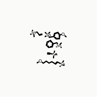 C#[C][Sn]([CH3])([CH3])[CH3].C=C[CH2][Sn]([CH3])([CH3])[CH3].COCCCCC=[CH][Sn]([CH3])([CH3])[CH3].COc1ccc([CH2][Sn]([CH3])([CH3])[CH3])cc1.[CH3][Sn]([CH3])([CH3])[CH2]c1ccccc1